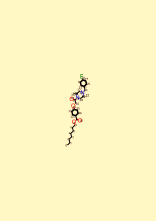 CCCCCCCCOC(=O)c1ccc(OCC(=O)N2C[C@@H](C)N(Cc3ccc(F)cc3)C[C@@H]2C)cc1